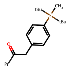 CC(C)C(=O)Cc1ccc(S(C)(C(C)(C)C)C(C)(C)C)cc1